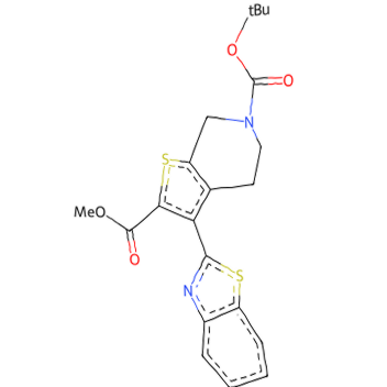 COC(=O)c1sc2c(c1-c1nc3ccccc3s1)CCN(C(=O)OC(C)(C)C)C2